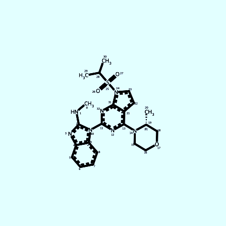 CNc1nc2ccccc2n1-c1nc(N2CCOC[C@H]2C)c2ccn(S(=O)(=O)C(C)C)c2n1